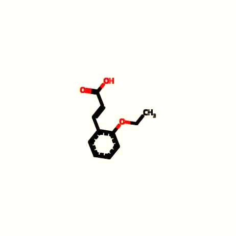 CCOc1ccccc1C=CC(=O)O